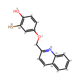 Oc1ccc(OCc2ccc3ccccc3n2)cc1S